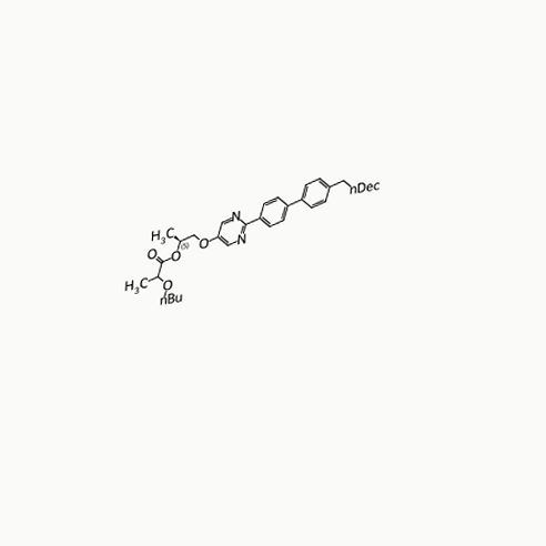 CCCCCCCCCCCc1ccc(-c2ccc(-c3ncc(OC[C@H](C)OC(=O)C(C)OCCCC)cn3)cc2)cc1